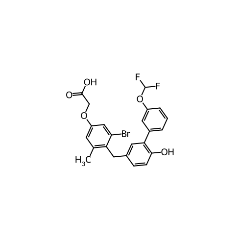 Cc1cc(OCC(=O)O)cc(Br)c1Cc1ccc(O)c(-c2cccc(OC(F)F)c2)c1